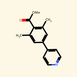 COC(=O)c1c(C)cc(-c2ccncc2)cc1C